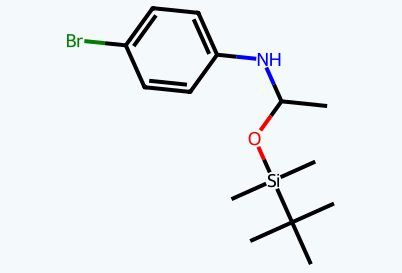 CC(Nc1ccc(Br)cc1)O[Si](C)(C)C(C)(C)C